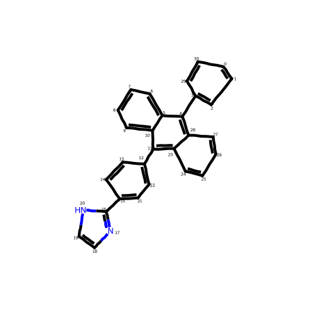 c1ccc(-c2c3ccccc3c(-c3ccc(-c4ncc[nH]4)cc3)c3ccccc23)cc1